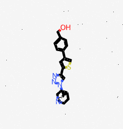 OCc1ccc(-c2csc(-c3cn(C4CN5CCC4CC5)nn3)c2)cc1